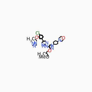 COCC(C)COc1nn([C@H]2CC[C@H](N3CCOCC3)CC2)cc1Nc1ncc(-c2ccc(Cl)c(O[C@@H](C)Cn3cncn3)c2)cn1